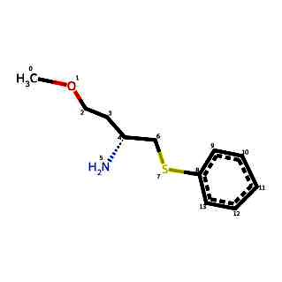 COCC[C@@H](N)CSc1ccccc1